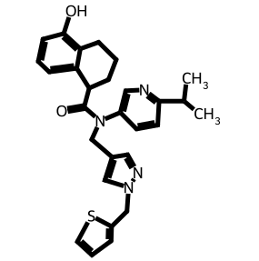 CC(C)c1ccc(N(Cc2cnn(Cc3cccs3)c2)C(=O)C2CCCc3c(O)cccc32)cn1